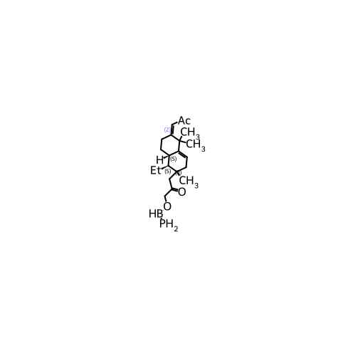 CC[C@H]1[C@@H]2CC/C(=C/C(C)=O)C(C)(C)C2=CC[C@]1(C)CC(=O)COBP